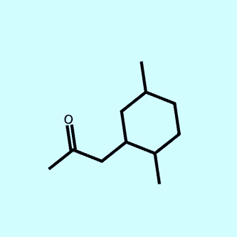 CC(=O)CC1CC(C)CCC1C